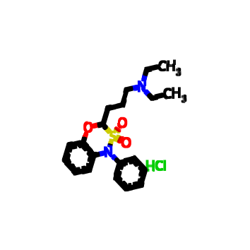 CCN(CC)CCCC1Oc2ccccc2N(c2ccccc2)S1(=O)=O.Cl